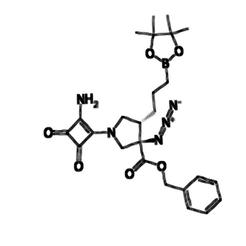 CC1(C)OB(CCC[C@H]2CN(c3c(N)c(=O)c3=O)C[C@@]2(N=[N+]=[N-])C(=O)OCc2ccccc2)OC1(C)C